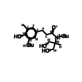 Cc1cc(CCC(=O)N(C(C)(C)C)C(C)(CO)CO)cc(C(C)(C)C)c1O